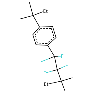 CCC(C)(C)c1ccc(C(F)(F)C(F)(F)C(C)(C)CC)cc1